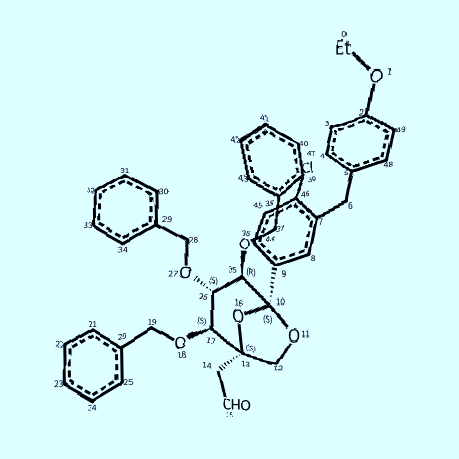 CCOc1ccc(Cc2cc([C@]34OC[C@](CC=O)(O3)[C@@H](OCc3ccccc3)[C@H](OCc3ccccc3)[C@H]4OCc3ccccc3)ccc2Cl)cc1